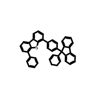 C1=CC(C2(c3ccc(-c4cccc5c4sc4c(-c6ccccc6)cccc45)cc3)c3ccccc3-c3ccccc32)=CCC1